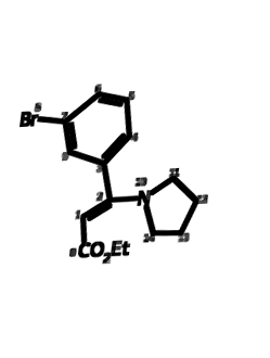 CCOC(=O)C=C(c1cccc(Br)c1)N1CCCC1